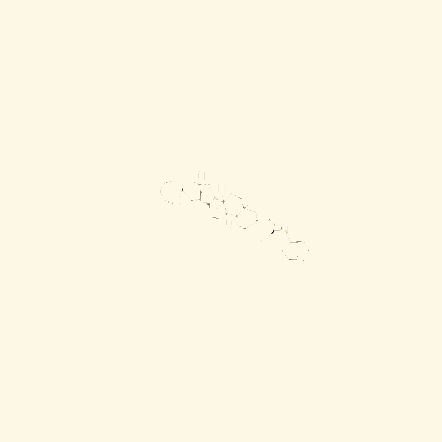 C[C@H]1CC[C@@]2(OC1)O[C@H]1C[C@H]3[C@@H]4CC[C@@H]5C[C@H](NC(=O)NC6CCN(C)CC6)CC[C@]5(C)[C@H]4CC[C@]3(C)[C@H]1[C@@H]2C